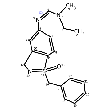 CCN(C)/C=N\c1ccc2c(c1)CN=S2(=O)Cc1ccccc1